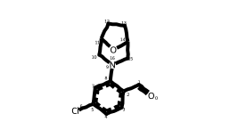 O=Cc1ccc(Cl)cc1N1CC2CCC(C1)O2